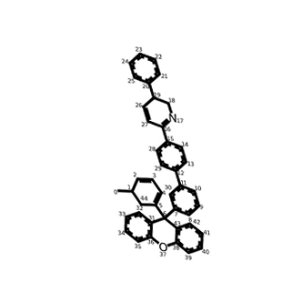 CC1C=CC=C(C2(c3cccc(-c4ccc(C5=NCC(c6ccccc6)C=C5)cc4)c3)c3ccccc3Oc3ccccc32)C1